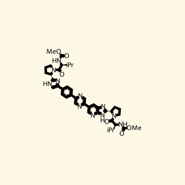 COC(=O)N[C@H](C(=O)N1CCC[C@H]1c1nc(-c2ccc(-c3cnc(-c4cnc5[nH]c([C@@H]6CCCN6C(=O)[C@@H](NC(=O)OC)C(C)C)nc5c4)cn3)cc2)c[nH]1)C(C)C